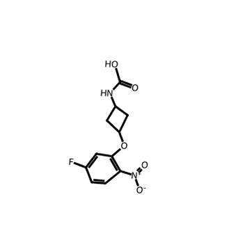 O=C(O)NC1CC(Oc2cc(F)ccc2[N+](=O)[O-])C1